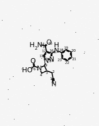 N#CCC1CN(C(=O)O)C1n1cc(C(N)=O)c(Nc2ccccc2)n1